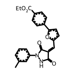 CCOC(=O)c1ccc(-c2ccc(C=C3C(=O)NN(c4cccc(C)c4)C3=O)o2)cc1